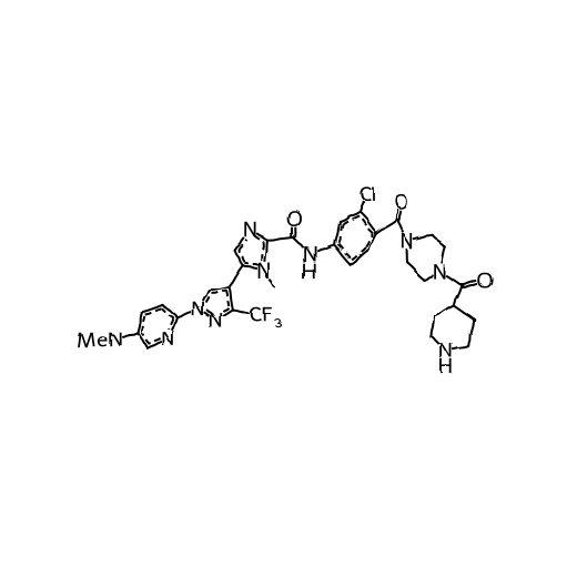 CNc1ccc(-n2cc(-c3cnc(C(=O)Nc4ccc(C(=O)N5CCN(C(=O)C6CCNCC6)CC5)c(Cl)c4)n3C)c(C(F)(F)F)n2)nc1